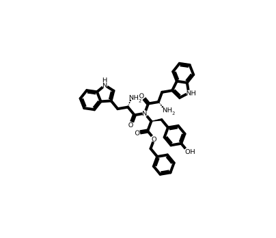 N[C@@H](Cc1c[nH]c2ccccc12)C(=O)N(C(=O)[C@@H](N)Cc1c[nH]c2ccccc12)[C@@H](Cc1ccc(O)cc1)C(=O)OCc1ccccc1